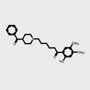 COc1cc(O)c(C(=O)CCCCCN2CCC(C(=O)c3ccccc3)CC2)cc1OC